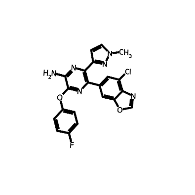 Cn1ccc(-c2nc(N)c(Oc3ccc(F)cc3)nc2-c2cc(Cl)c3ncoc3c2)n1